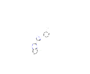 O=[N+]([O-])c1cccc(-n2cc(-c3cnc4cccc(Br)c4n3)cn2)c1